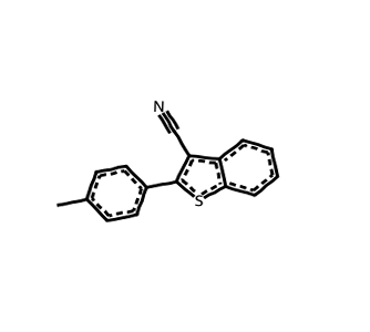 Cc1ccc(-c2sc3ccccc3c2C#N)cc1